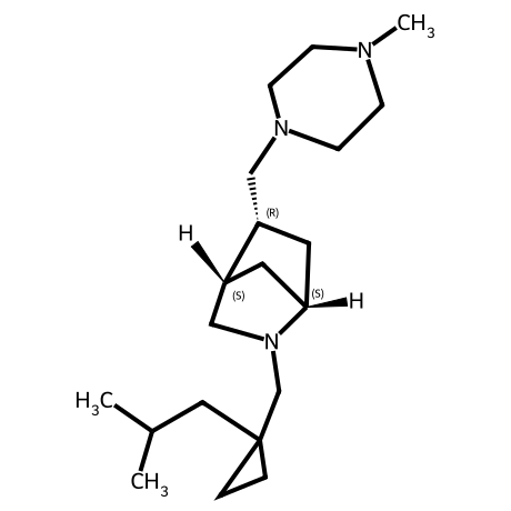 CC(C)CC1(CN2C[C@H]3C[C@@H]2C[C@H]3CN2CCN(C)CC2)CC1